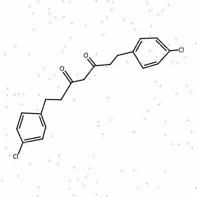 O=C(CCc1ccc(Cl)cc1)CC(=O)CCc1ccc(Cl)cc1